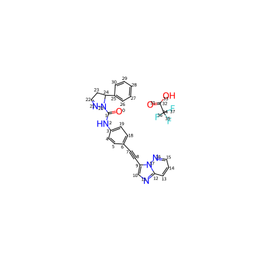 O=C(Nc1ccc(C#Cc2cnc3cccnn23)cc1)N1N=CCC1c1ccccc1.O=C(O)C(F)(F)F